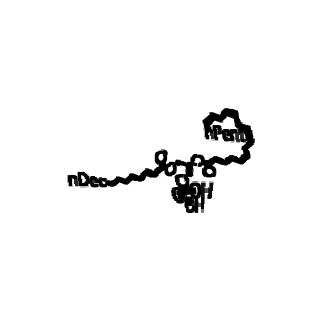 CCCCC/C=C\C/C=C\C/C=C\C/C=C\CCCC(=O)O[C@H](COC(=O)CCCCCCCCCCCCCCCCC)COP(=O)(O)O